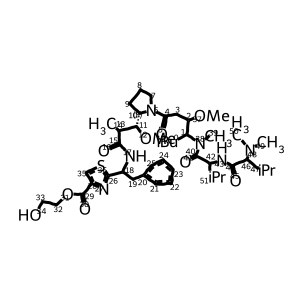 CCC(C)C(C(CC(=O)N1CCC[C@H]1C(OC)C(C)C(=O)NC(Cc1ccccc1)c1nc(C(=O)OCCO)cs1)OC)N(C)C(=O)C(NC(=O)C(C(C)C)N(C)C)C(C)C